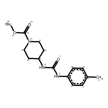 Cc1ccc(NC(=O)NC2CCN(C(=O)OC(C)(C)C)CC2)cc1